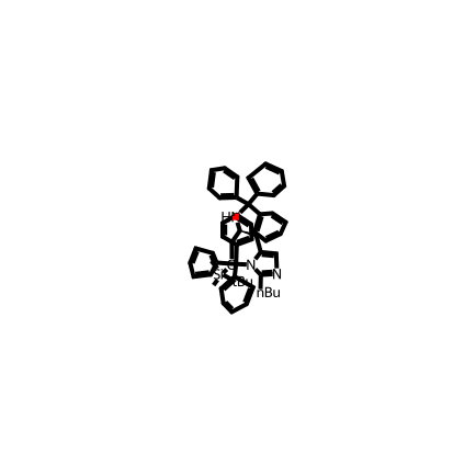 CCCCc1ncc(C[C@@H](CO[Si](C)(C)C(C)(C)C)NC(c2ccccc2)(c2ccccc2)c2ccccc2)n1C(c1ccccc1)(c1ccccc1)c1ccccc1